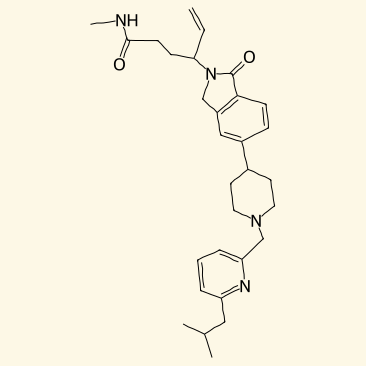 C=CC(CCC(=O)NC)N1Cc2cc(C3CCN(Cc4cccc(CC(C)C)n4)CC3)ccc2C1=O